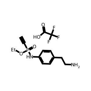 C#CP(=O)(Nc1ccc(CCN)cc1)OCC.O=C(O)C(F)(F)F